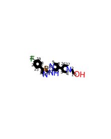 OCCN1CCC(c2ccnc(Nc3ncc(-c4ccc(F)cc4)s3)c2)CC1